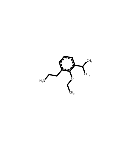 CCOc1c(CCN)cccc1C(C)C